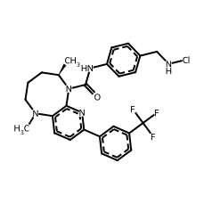 C[C@@H]1CCCN(C)c2ccc(-c3cccc(C(F)(F)F)c3)nc2N1C(=O)Nc1ccc(CNCl)cc1